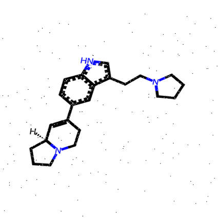 C1=C(c2ccc3[nH]cc(CCN4CCCC4)c3c2)CCN2CCC[C@@H]12